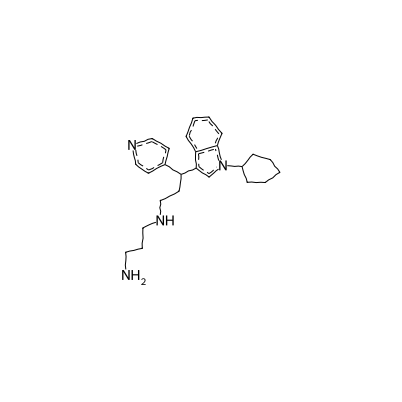 NCCCNCCC(c1ccncc1)c1cn(C2CCCCC2)c2ccccc12